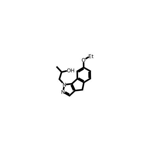 CCOc1ccc2c(c1)-c1c(cnn1CC(C)O)C2